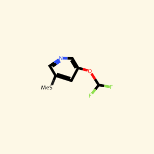 CSc1[c]ncc(OC(F)F)c1